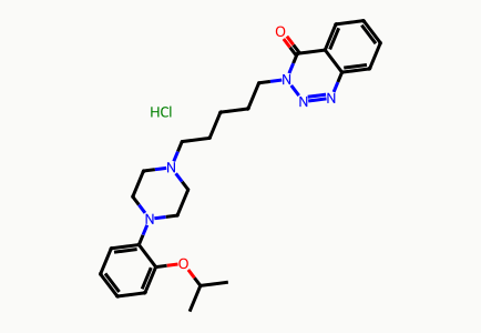 CC(C)Oc1ccccc1N1CCN(CCCCCn2nnc3ccccc3c2=O)CC1.Cl